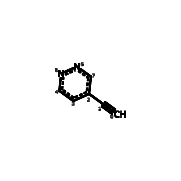 C#Cc1ccnnc1